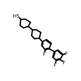 Fc1cc(C2CCC(C3CCC(S)CC3)CC2)ccc1-c1cc(F)c(F)c(F)c1